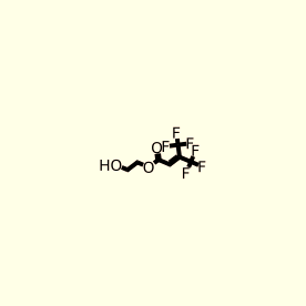 O=C(C=C(C(F)(F)F)C(F)(F)F)OCCO